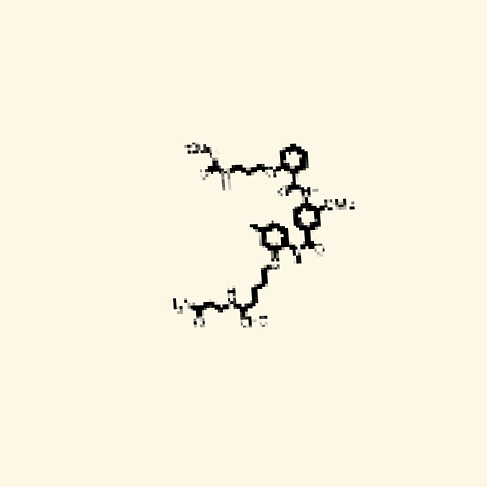 COc1cc(C(=O)N(C)c2ccc(C)cc2OCCCCC(C=O)NCCC(N)=O)ccc1NC(=O)c1ccccc1OCCCNC(=O)OC(C)(C)C